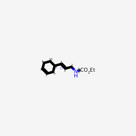 CCOC(=O)NC/C=C/C1CC=CCC1